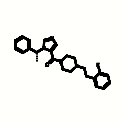 C[C@H](c1ccccc1)n1cncc1C(=O)N1CCN(CCc2ccccc2F)CC1